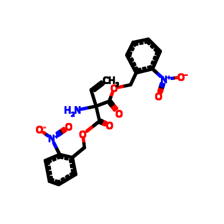 C=CC(N)(C(=O)OCc1ccccc1[N+](=O)[O-])C(=O)OCc1ccccc1[N+](=O)[O-]